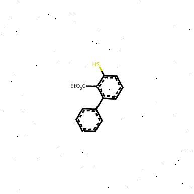 CCOC(=O)c1c(S)cccc1-c1ccccc1